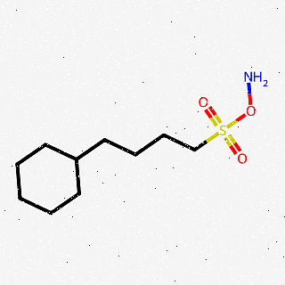 NOS(=O)(=O)CCCCC1CCCCC1